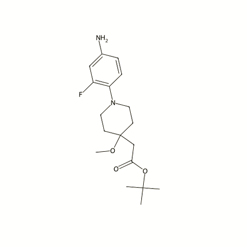 COC1(CC(=O)OC(C)(C)C)CCN(c2ccc(N)cc2F)CC1